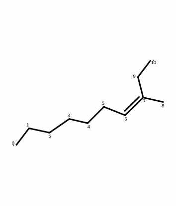 [CH2]CCCCCC=C(C)C[CH2]